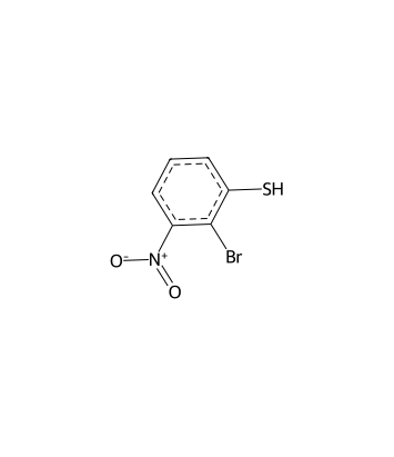 O=[N+]([O-])c1cccc(S)c1Br